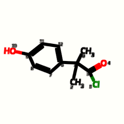 CC(C)(C(=O)Cl)c1ccc(O)cc1